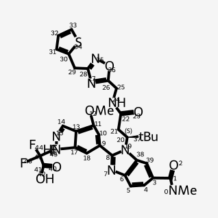 CNC(=O)c1ccc2nc(-c3cc(OC)c4cn[nH]c4c3)n([C@@H](CC(=O)NCc3nc(Cc4cccs4)no3)C(C)(C)C)c2c1.O=C(O)C(F)(F)F